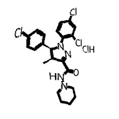 C[C@@H]1C(C(=O)NN2CCCCC2)=NN(c2ccc(Cl)cc2Cl)[C@@H]1c1ccc(Cl)cc1.Cl